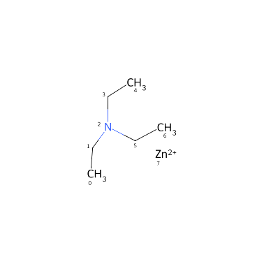 CCN(CC)CC.[Zn+2]